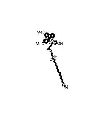 COc1ccc(C(OC[C@@H]2C[C@@H](O)CN2C(=O)CCC(C)SSCCNC(=O)CCCCCCCCCCCCCCCN=[N+]=[N-])(c2ccccc2)c2ccc(OC)cc2)cc1